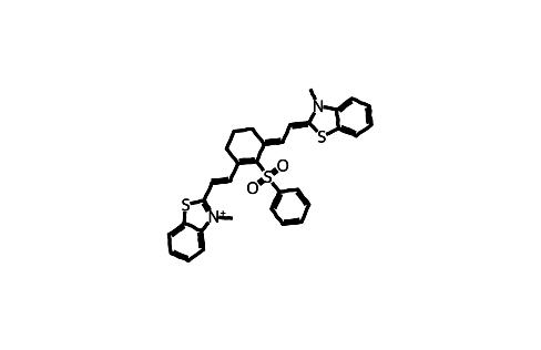 CN1/C(=C/C=C2\CCCC(/C=C/c3sc4ccccc4[n+]3C)=C2S(=O)(=O)c2ccccc2)Sc2ccccc21